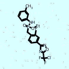 CCOP(=O)(Cc1ccc(-c2noc(C(F)(F)Cl)n2)cc1F)Nc1cccc(C)c1